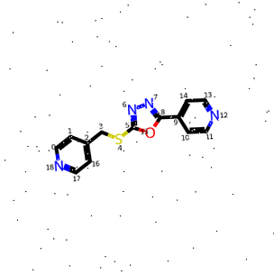 c1cc(CSc2nnc(-c3ccncc3)o2)ccn1